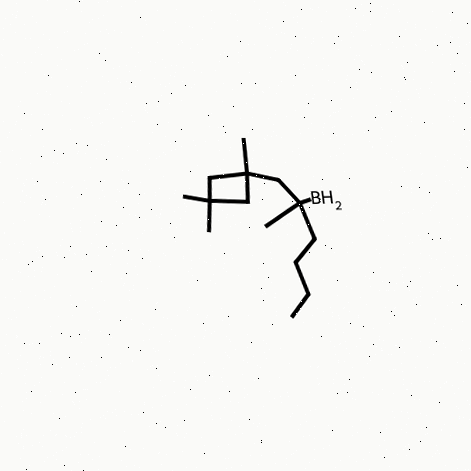 BC(C)(CCCC)CC1(C)CC(C)(C)C1